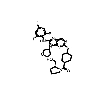 O=C(C1CCC(Nc2ncc3nc(Nc4c(F)cc(F)cc4F)n(C4CCOC4)c3n2)CC1)N1CCC[C@H]1CO